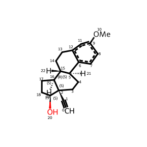 C#C[C@]12CC[C@@H]3c4ccc(OC)cc4CC[C@H]3[C@@H]1CC[C@@H]2O